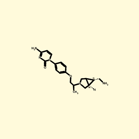 CC(COc1ccc(-n2ccc(N)nc2=O)cc1)N1CC2[C@H](CN)[C@H]2C1